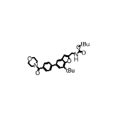 CC(C)(C)OC(=O)NCc1cc2cc(-c3ccc(C(=O)N4CCOCC4)cc3)cc(C(C)(C)C)c2o1